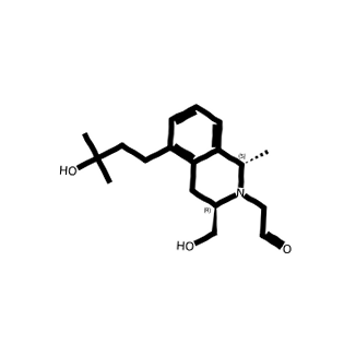 C[C@H]1c2cccc(CCC(C)(C)O)c2C[C@H](CO)N1CC=O